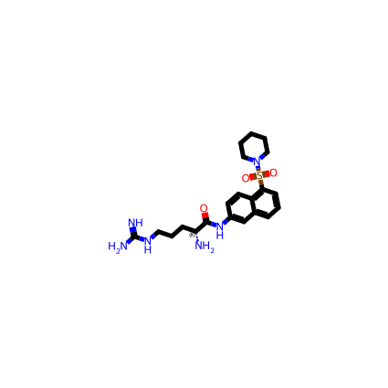 N=C(N)NCCC[C@@H](N)C(=O)Nc1ccc2c(S(=O)(=O)N3CCCCC3)cccc2c1